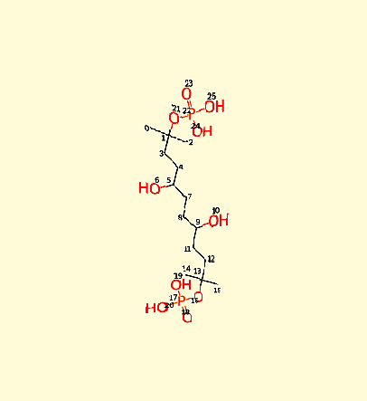 CC(C)(CCC(O)CCC(O)CCC(C)(C)OP(=O)(O)O)OP(=O)(O)O